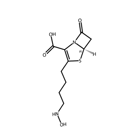 O=C(O)C1=C(CCCCNO)S[C@@H]2CC(=O)N12